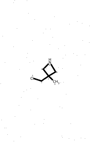 CC1(CCl)CNC1